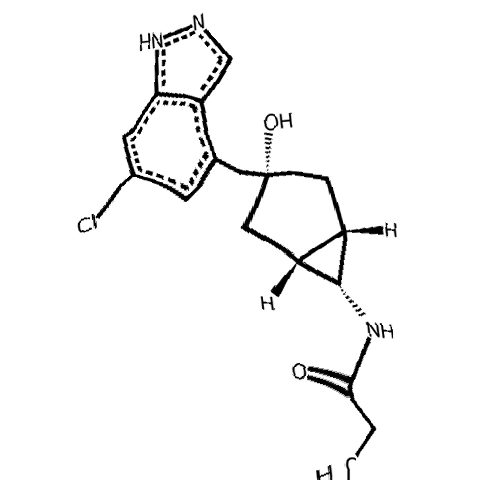 CCC(=O)N[C@@H]1[C@@H]2C[C@@](O)(c3cc(Cl)cc4[nH]ncc34)C[C@@H]21